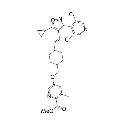 COC(=O)c1ncc(OCC2CCC(/C=C/c3c(-c4c(Cl)cncc4Cl)noc3C3CC3)CC2)cc1C